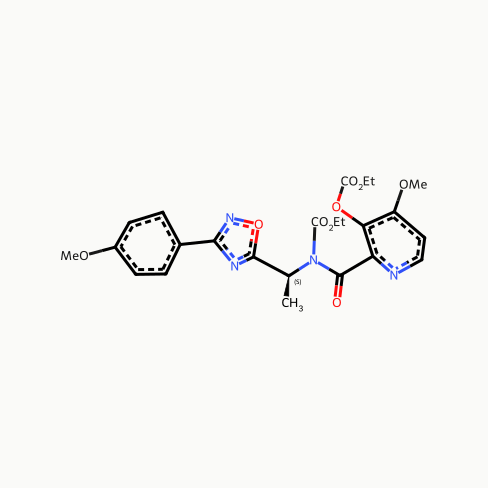 CCOC(=O)Oc1c(OC)ccnc1C(=O)N(C(=O)OCC)[C@@H](C)c1nc(-c2ccc(OC)cc2)no1